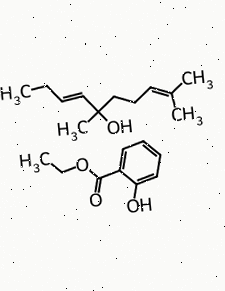 CCC=CC(C)(O)CCC=C(C)C.CCOC(=O)c1ccccc1O